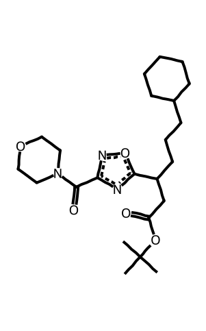 CC(C)(C)OC(=O)CC(CCCC1CCCCC1)c1nc(C(=O)N2CCOCC2)no1